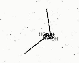 CCCCCCCCCCCCCCCCCCCCCCCCCCCCc1c(C(=O)O)ccc(O)c1S(=O)(=O)c1c(O)ccc(C(=O)O)c1CCCCCCCCCCCCCCCCCCCCCCCCCCCC